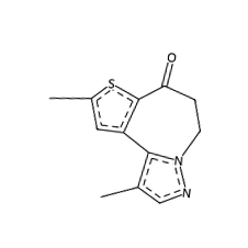 Cc1cc2c(s1)C(=O)CCn1ncc(C)c1-2